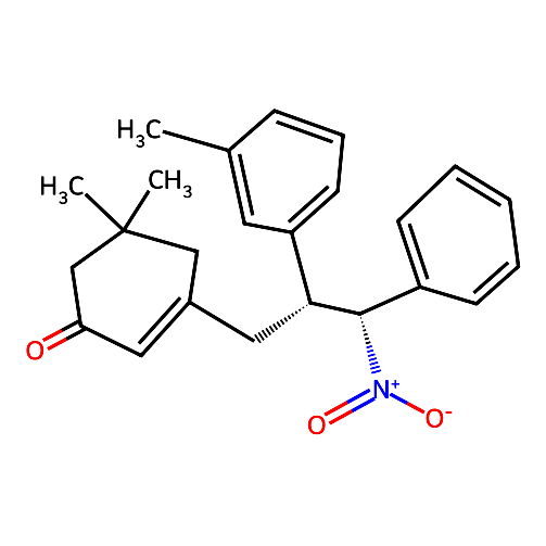 Cc1cccc([C@@H](CC2=CC(=O)CC(C)(C)C2)[C@H](c2ccccc2)[N+](=O)[O-])c1